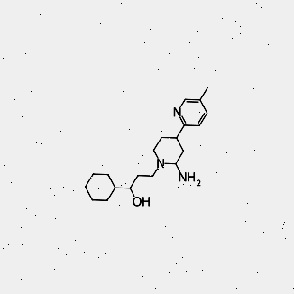 Cc1ccc(C2CCN(CCC(O)C3CCCCC3)C(N)C2)nc1